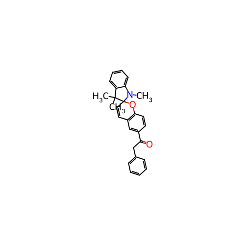 CN1c2ccccc2C(C)(C)C12C=Cc1cc(C(=O)Cc3ccccc3)ccc1O2